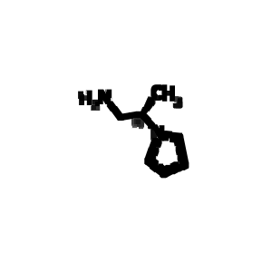 C[C@H](CN)n1cccc1